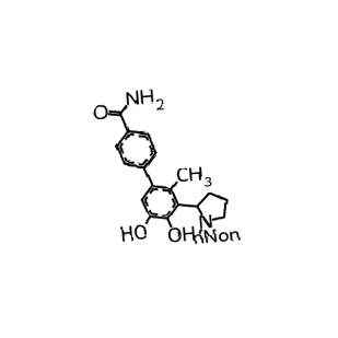 CCCCCCCCCN1CCCC1c1c(C)c(-c2ccc(C(N)=O)cc2)cc(O)c1O